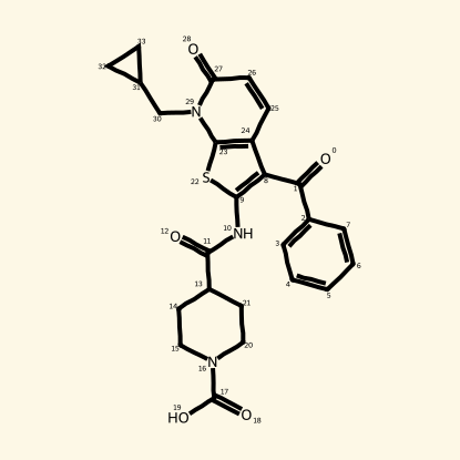 O=C(c1ccccc1)c1c(NC(=O)C2CCN(C(=O)O)CC2)sc2c1ccc(=O)n2CC1CC1